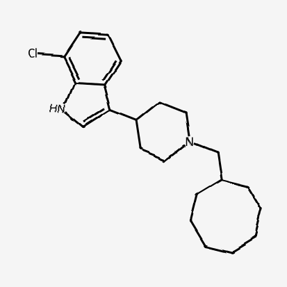 Clc1cccc2c(C3CCN(CC4CCCCCCC4)CC3)c[nH]c12